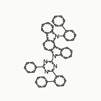 c1ccc(-c2nc(-c3ccccc3-c3ccccc3)nc(-n3c4ccccc4c4c3ccc3c5ccccc5n(-c5ccccc5-c5ccccc5)c34)n2)cc1